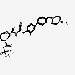 CN1CCN(Cc2ccc(-c3ccc(C[C@@H](C#N)NC(=O)[C@@H]4CN(C(=O)OC(C)(C)C)CCCO4)c(F)c3)cc2)CC1